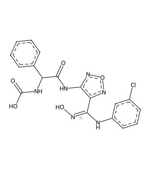 O=C(O)NC(C(=O)Nc1nonc1/C(=N\O)Nc1cccc(Cl)c1)c1ccccc1